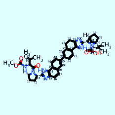 COC(=O)N[C@H](C(=O)N1CCC[C@H]1c1nc2ccc3cc(-c4ccc5c(c4)CCc4nc([C@@H]6[C@H]7CC[C@](C(C)(C)C)(C7)N6C(=O)O)[nH]c4-5)ccc3c2[nH]1)C(C)C